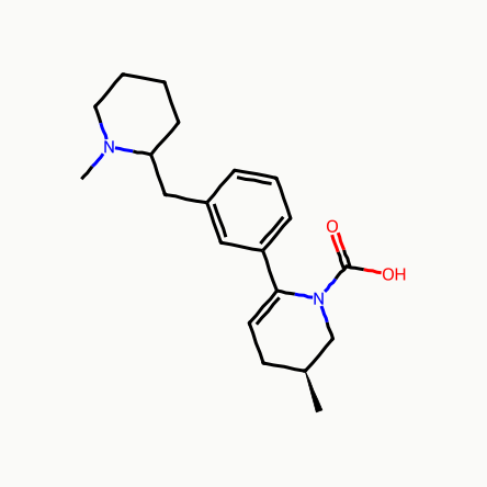 C[C@H]1CC=C(c2cccc(CC3CCCCN3C)c2)N(C(=O)O)C1